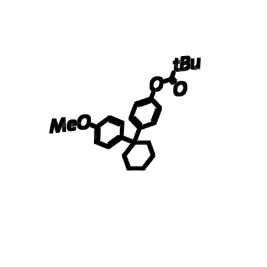 COc1ccc(C2(c3ccc(OC(=O)C(C)(C)C)cc3)CCCCC2)cc1